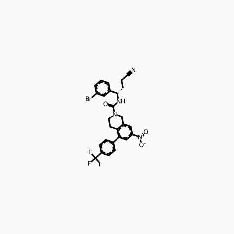 N#CCC[C@H](NC(=O)N1CCc2c(cc([N+](=O)[O-])cc2-c2ccc(C(F)(F)F)cc2)C1)c1cccc(Br)c1